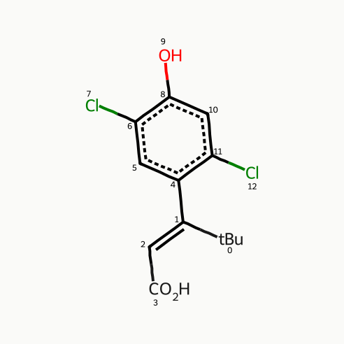 CC(C)(C)/C(=C\C(=O)O)c1cc(Cl)c(O)cc1Cl